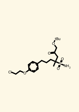 CC(C)(C)OCC(=O)CC(C)(CCCc1ccc(OCCCl)cc1)S(N)(=O)=O